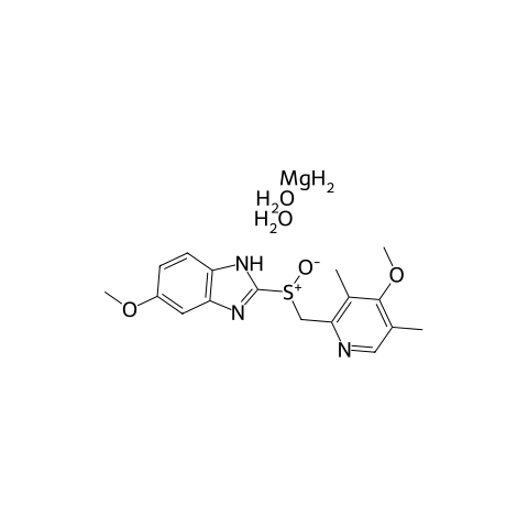 COc1ccc2[nH]c([S+]([O-])Cc3ncc(C)c(OC)c3C)nc2c1.O.O.[MgH2]